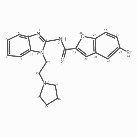 O=C(Nc1nc2ccccc2n1CCN1CCCC1)c1cc2cc(Br)ccc2o1